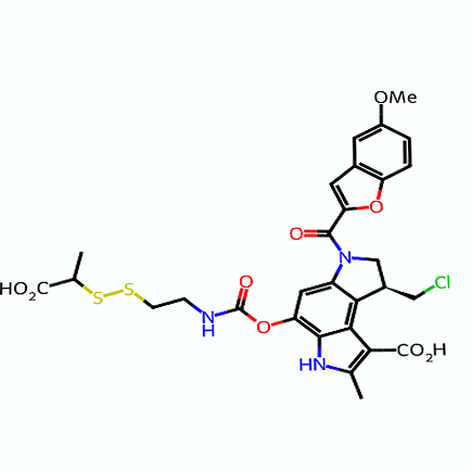 COc1ccc2oc(C(=O)N3C[C@@H](CCl)c4c3cc(OC(=O)NCCSSC(C)C(=O)O)c3[nH]c(C)c(C(=O)O)c43)cc2c1